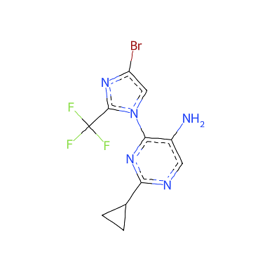 Nc1cnc(C2CC2)nc1-n1cc(Br)nc1C(F)(F)F